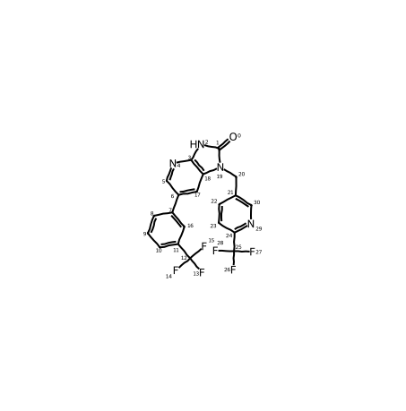 O=c1[nH]c2ncc(-c3cccc(C(F)(F)F)c3)cc2n1Cc1ccc(C(F)(F)F)nc1